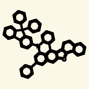 c1ccc(-c2cccc(N(c3ccc4c(c3)C(c3ccccc3)(c3ccccc3)c3ccccc3-4)c3ccccc3-c3cccc4oc5c6ccccc6ccc5c34)c2)cc1